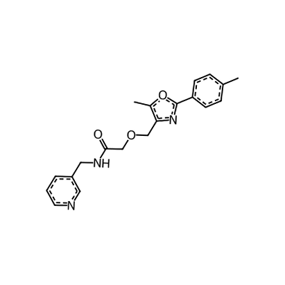 Cc1ccc(-c2nc(COCC(=O)NCc3cccnc3)c(C)o2)cc1